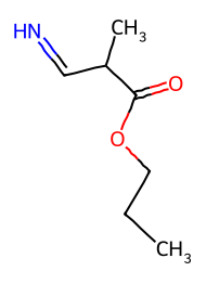 CCCOC(=O)C(C)C=N